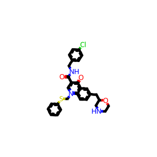 O=C(NCc1ccc(Cl)cc1)c1cn(CSc2ccccc2)c2ccc(CC3CNCCO3)cc2c1=O